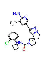 Nc1ncc(-c2cc3n(n2)CC[C@@]32CCN(C(=O)NC3(c4ccccc4Cl)CCC3)C2)cc1C(F)(F)F